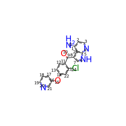 Nc1ccnc2[nH]cc(C(=O)c3ccc(Oc4cccnc4)cc3Cl)c12